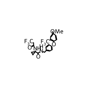 COc1ccc(Oc2ccc(CNC(=O)C3(NC(=O)CC(F)(F)F)CC3)cc2)c(C(F)(F)F)c1